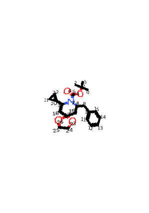 CC(C)(C)OC(=O)N1C(Cc2ccccc2)CC2(CC1C1CC1)OCCO2